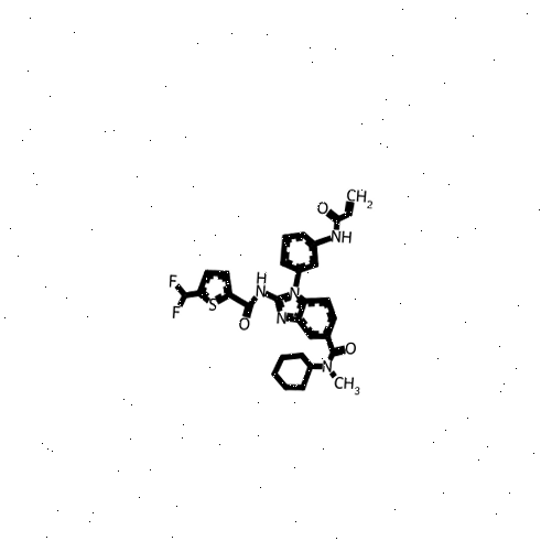 C=CC(=O)Nc1cccc(-n2c(NC(=O)c3ccc(C(F)F)s3)nc3cc(C(=O)N(C)C4CCCCC4)ccc32)c1